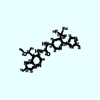 CO[C@@H](C)c1c(NC(=O)Nc2cnc(-n3cnc(C)n3)c(C(F)(F)F)c2)cnn2cc(C)nc12